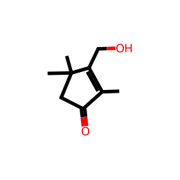 CC1=C(CO)C(C)(C)CC1=O